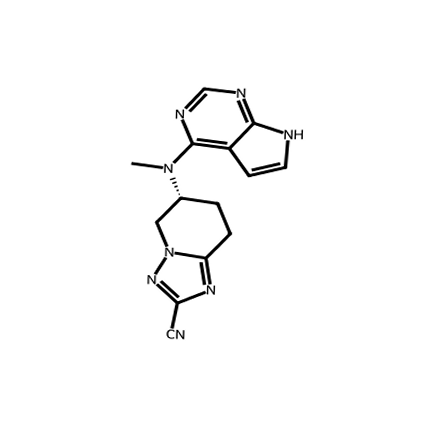 CN(c1ncnc2[nH]ccc12)[C@@H]1CCc2nc(C#N)nn2C1